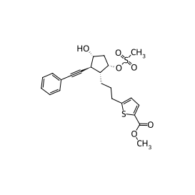 COC(=O)c1ccc(CCC[C@@H]2[C@@H](C#Cc3ccccc3)[C@H](O)C[C@@H]2OS(C)(=O)=O)s1